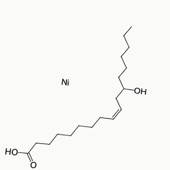 CCCCCCC(O)C/C=C\CCCCCCCC(=O)O.[Ni]